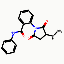 BBC1CC(=O)N(c2ccccc2C(=O)Nc2ccccc2)C1=O